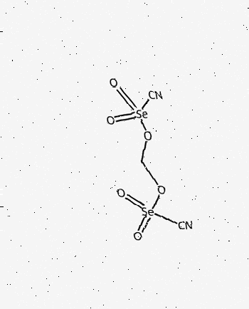 N#C[Se](=O)(=O)OCO[Se](=O)(=O)C#N